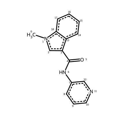 Cn1cc(C(=O)Nc2cccnc2)c2ccccc21